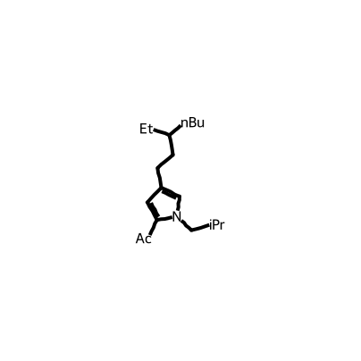 CCCCC(CC)CCc1cc(C(C)=O)n(CC(C)C)c1